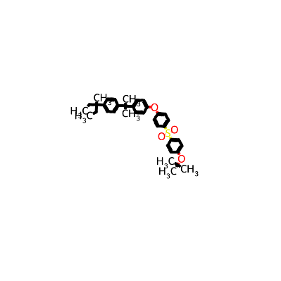 CCC(C)(CC)c1ccc(C(C)(C)c2ccc(Oc3ccc(S(=O)(=O)c4ccc(OC(C)(C)C)cc4)cc3)cc2)cc1